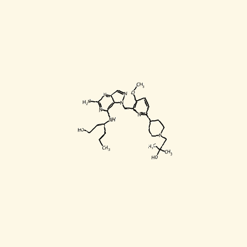 CCC[C@@H](CCO)Nc1nc(N)nc2cnn(Cc3nc(C4CCN(CC(C)(C)O)CC4)ccc3OC)c12